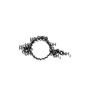 CC1/C=C/C=C/C=C/C=C/C=C/C=C/C=C/C(OC2OC(C)C(O)C(=O)C2O)CC(O)C(C(=O)O)C(O)CC(=O)CC(O)CC(O)CC(O)CC(=O)CCCC(O)CC(=O)OC1C(C)CC(C)C(O)CC(=O)c1ccc(N)cc1